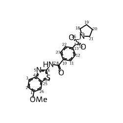 COc1ccc2nc(NC(=O)c3ccc(S(=O)(=O)N4CCCC4)cc3)sc2c1